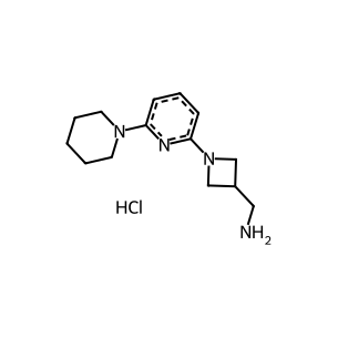 Cl.NCC1CN(c2cccc(N3CCCCC3)n2)C1